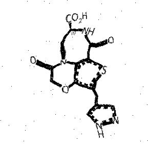 O=C1N[C@H](C(=O)O)CN2C(=O)COc3c(-c4cn[nH]c4)sc1c32